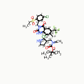 CCS(=O)(=O)c1ccc(Cl)cc1Cn1c(=O)[nH]c2c(Cl)c(C[C@@H](C3CCNC3)N(C)C(=O)OC(C)(C)C)c(C(F)(F)F)cc2c1=O